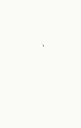 N[C@@H]1CC[C@H]1N1CCC(Cc2ccc(Cl)cc2)CC1